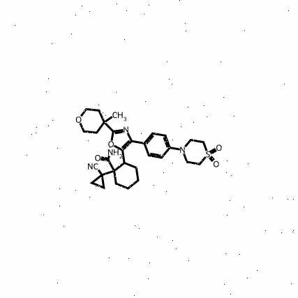 CC1(c2nc(-c3ccc(N4CCS(=O)(=O)CC4)cc3)c(C3CCCCC3(C(N)=O)C3(C#N)CC3)o2)CCOCC1